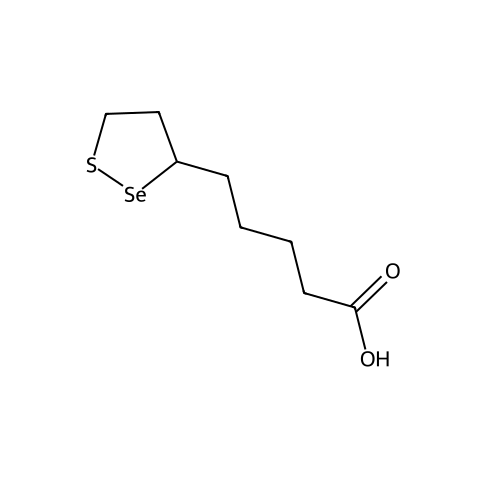 O=C(O)CCCCC1CCS[Se]1